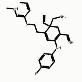 C=CC1(CN)CC(C=N)=C(Nc2ccc(F)cc2)C=C1CCSC(/C=C\C)=C/NC